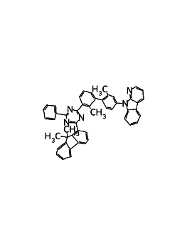 Cc1cc(-n2c3ccccc3c3cccnc32)ccc1-c1cccc(-c2nc(-c3ccccc3)nc(-c3cccc4c3C(C)(C)c3ccccc3-4)n2)c1C